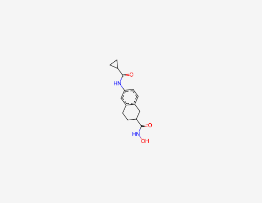 O=C(NO)C1CCc2cc(NC(=O)C3CC3)ccc2C1